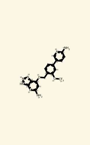 Nc1ccc(-c2ccc(COc3cc(N)nc4[nH]nnc34)c(OC(F)(F)F)c2)cn1